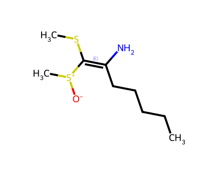 CCCCC/C(N)=C(/SC)[S+](C)[O-]